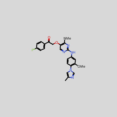 CNc1nc(Nc2ccc(-n3cnc(C)c3)c(OC)c2)ncc1OCC(=O)c1ccc(F)cc1